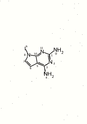 Nc1nc(N)c2ccn(I)c2n1